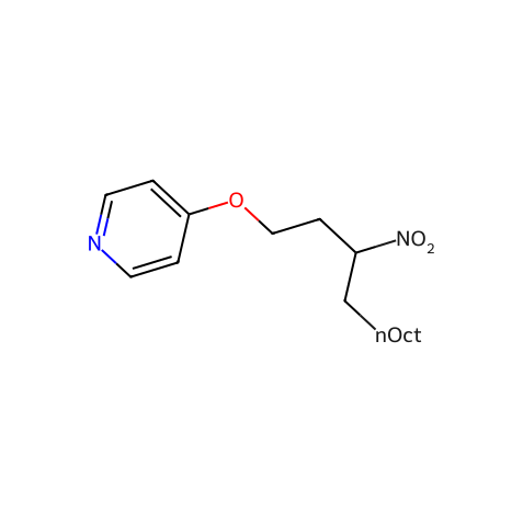 CCCCCCCCCC(CCOc1ccncc1)[N+](=O)[O-]